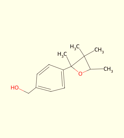 CC1OC(C)(c2ccc(CO)cc2)C1(C)C